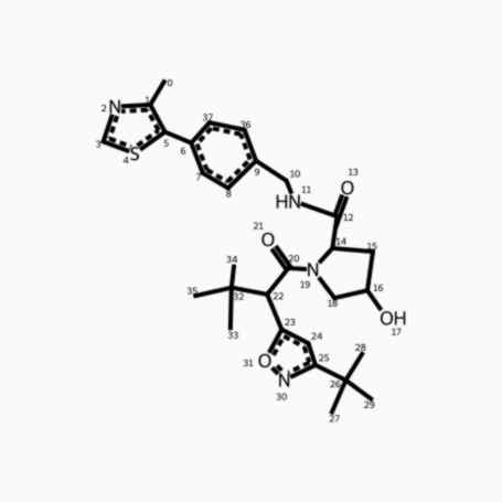 Cc1ncsc1-c1ccc(CNC(=O)C2CC(O)CN2C(=O)C(c2cc(C(C)(C)C)no2)C(C)(C)C)cc1